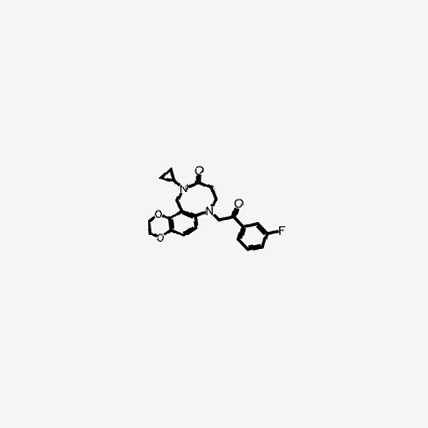 O=C(CN1CCC(=O)N(C2CC2)Cc2c1ccc1c2OCCO1)c1cccc(F)c1